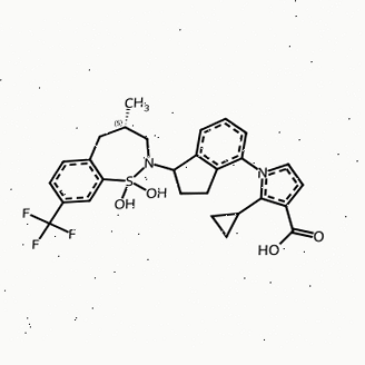 C[C@H]1Cc2ccc(C(F)(F)F)cc2S(O)(O)N(C2CCc3c2cccc3-n2ccc(C(=O)O)c2C2CC2)C1